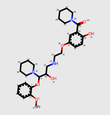 CCCOc1ccccc1OC(C(O)CNCCOc1ccc(O)c(C(=O)N2CCCCC2)c1)N1CCCCC1